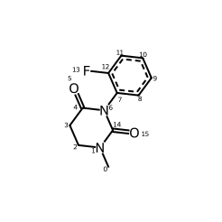 CN1CCC(=O)N(c2ccccc2F)C1=O